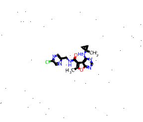 Cc1oc2ncnc(NC3(C)CC3)c2c1C(=O)NCc1cnc(Cl)cn1